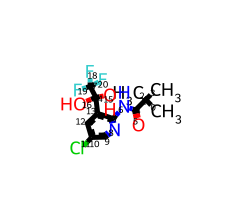 CC(C)(C)C(=O)Nc1ncc(Cl)cc1C(O)(O)C(F)(F)F